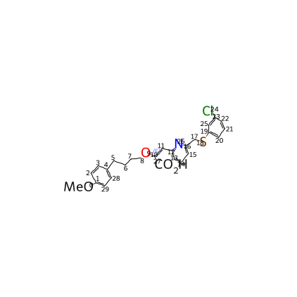 COc1ccc(CCCCO/C(=C/c2cccc(CSc3cccc(Cl)c3)n2)C(=O)O)cc1